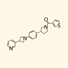 O=C(c1ccsc1)N1CCC(c2ccc(N3CC(c4cccnc4)C3)cc2)C1